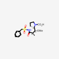 CO[C@H]([C@@H](C)C(=O)NS(=O)(=O)Cc1ccccc1)[C@@H]1CCCN1C(=O)O